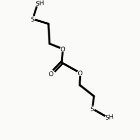 O=C(OCCSS)OCCSS